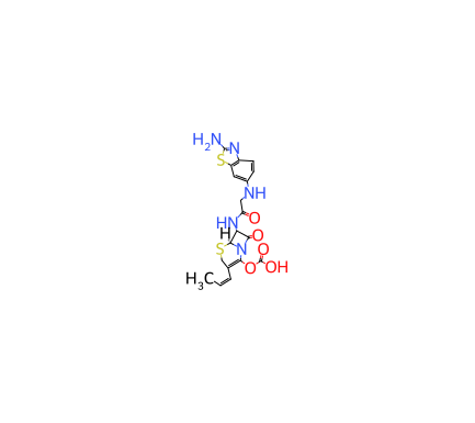 C/C=C\C1=C(OC(=O)O)N2C(=O)C(NC(=O)CNc3ccc4nc(N)sc4c3)[C@@H]2SC1